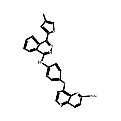 COc1ccc2nccc(Sc3ccc(Nc4nnc(-c5cc(C)cs5)c5ccccc45)cc3)c2n1